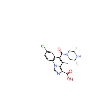 Cc1c(C(=O)N2C[C@@H](C)N[C@@H](C)C2)c2cc(Cl)ccc2n2cnc(C(=O)O)c12